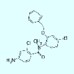 CN(C(=O)c1ccc(N)cc1Cl)c1ccc(Cl)cc1OCc1ccccc1